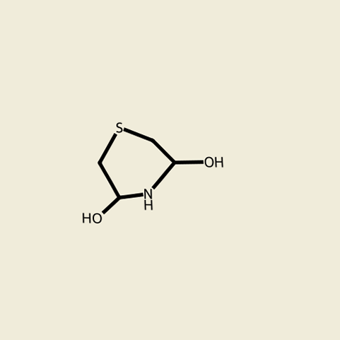 OC1CSCC(O)N1